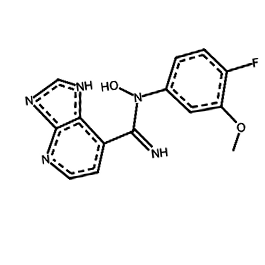 COc1cc(N(O)C(=N)c2ccnc3nc[nH]c23)ccc1F